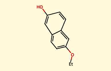 CCOc1ccc2cc(O)ccc2c1